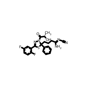 C[C@H](O)C(=O)N1N=C(c2cc(F)ccc2F)SC1(CCC/C(N)=N/C#N)c1ccccc1